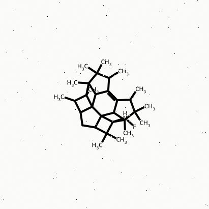 CC1C2=C3C(C)C(C)(C)C4(C)C3C35C(CC6C(C)C7(C)C(C)(C2C673)C1(C)C)C(C)(C)C45NF